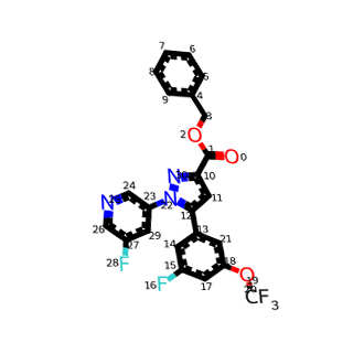 O=C(OCc1ccccc1)c1cc(-c2cc(F)cc(OC(F)(F)F)c2)n(-c2cncc(F)c2)n1